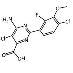 COc1c(Cl)ccc(-c2nc(N)c(Cl)c(C(=O)O)n2)c1F